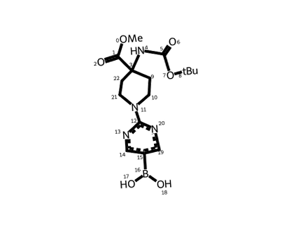 COC(=O)C1(NC(=O)OC(C)(C)C)CCN(c2ncc(B(O)O)cn2)CC1